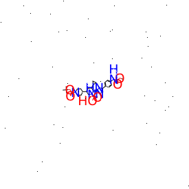 COC(=O)Nc1ccc(-c2cnc(C3C(C4CC4)CC(C4CCN(C(=O)OC(C)(C)C)CC4)CN3C(=O)O)[nH]2)cc1